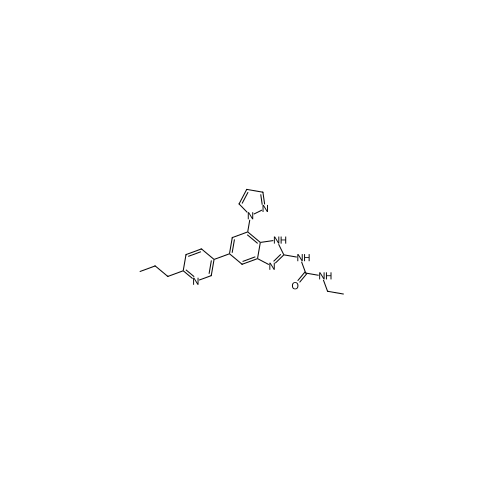 CCCc1ccc(-c2cc(-n3cccn3)c3[nH]c(NC(=O)NCC)nc3c2)cn1